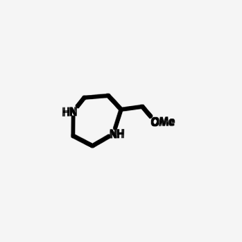 COCC1CCNCCN1